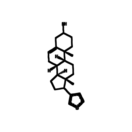 C[C@]12CCC(S)CC1=CC[C@@H]1[C@H]2CC[C@]2(C)C(c3ccoc3)CC[C@@H]12